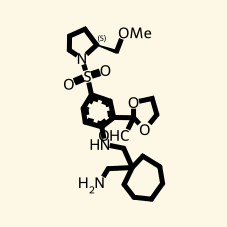 COC[C@@H]1CCCN1S(=O)(=O)c1ccc(NCC2(CN)CCCCCC2)c(C2(C=O)OCCO2)c1